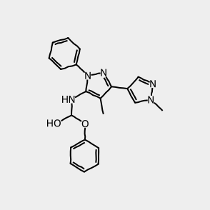 Cc1c(-c2cnn(C)c2)nn(-c2ccccc2)c1NC(O)Oc1ccccc1